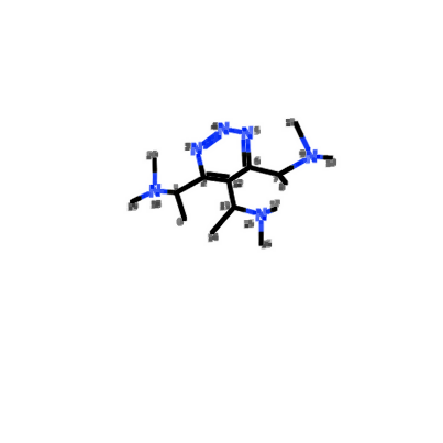 CC(c1nnnc(C(C)N(C)C)c1C(C)N(C)C)N(C)C